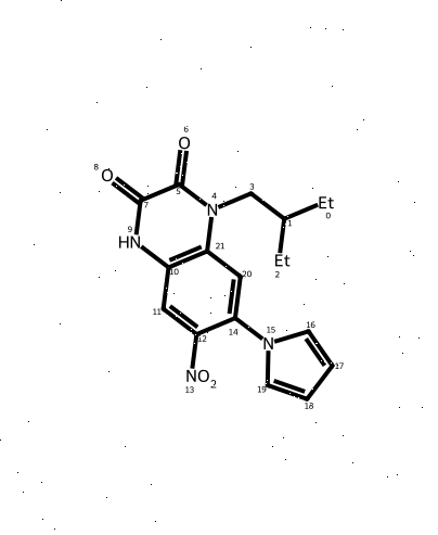 CCC(CC)Cn1c(=O)c(=O)[nH]c2cc([N+](=O)[O-])c(-n3cccc3)cc21